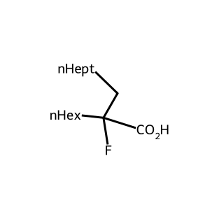 CCCCCCCCC(F)(CCCCCC)C(=O)O